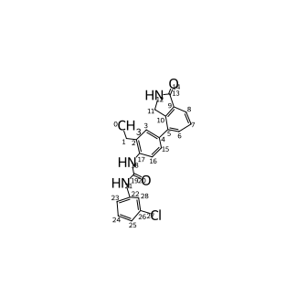 CCc1cc(-c2cccc3c2CNC3=O)ccc1NC(=O)Nc1cccc(Cl)c1